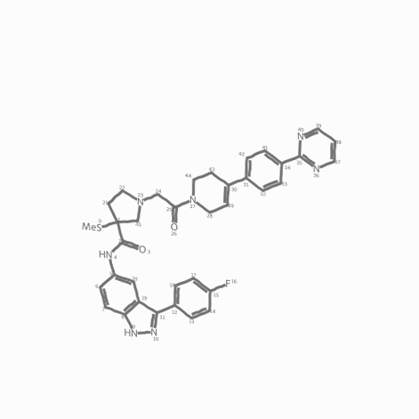 CSC1(C(=O)Nc2ccc3[nH]nc(-c4ccc(F)cc4)c3c2)CCN(CC(=O)N2CC=C(c3ccc(-c4ncccn4)cc3)CC2)C1